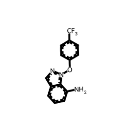 Nc1cccc2cnn(Oc3ccc(C(F)(F)F)cc3)c12